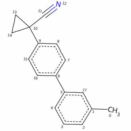 Cc1cccc(-c2ccc(C3(C#N)CC3)cc2)c1